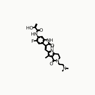 C=C(O)C(=O)Nc1cc2c(cc1F)/C(=C/c1[nH]c3c(c1C)C(=O)N(CCN(C)C)CC3)C(=O)N2